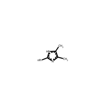 CCCc1nc(C)c(C)[nH]1